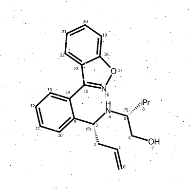 C=CC[C@@H](N[C@@H](CO)C(C)C)c1ccccc1-c1noc2ccccc12